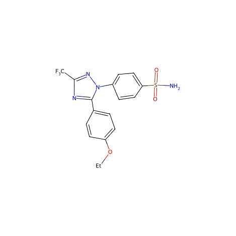 CCOc1ccc(-c2nc(C(F)(F)F)nn2-c2ccc(S(N)(=O)=O)cc2)cc1